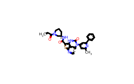 C=CC(=O)N1CCC[C@@H](NC(=O)c2sc3nccc4c3c2NC(=O)N4c2cc(C)nc(-c3ccccc3)c2)C1